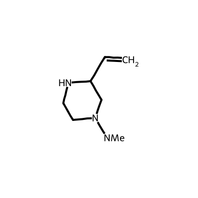 C=CC1CN(NC)CCN1